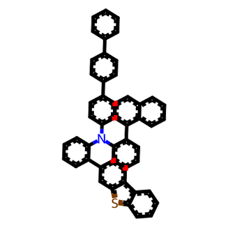 c1ccc(-c2ccc(-c3ccc(N(c4ccccc4-c4ccc5c(c4)sc4ccccc45)c4ccccc4-c4cccc5ccccc45)cc3)cc2)cc1